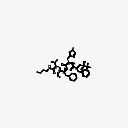 CCCCNC(=O)[C@@H](C[C@H](N)[C@H](CC1CCCCC1)NC(=O)[C@H](Cc1c[nH]cn1)NC(=O)[C@H](Cc1ccccc1)CS(=O)(=O)C(C)(C)C)C(C)C